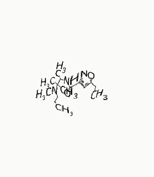 CCCN(C)C(C)(C)C(C)NC(=O)c1cc(CC)on1